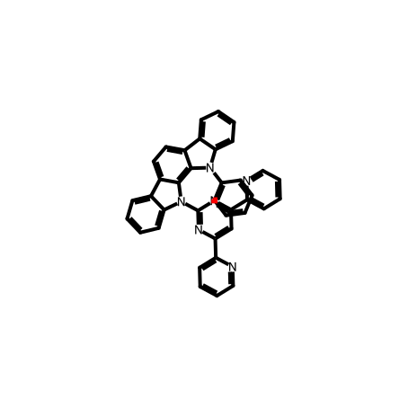 c1ccc(-n2c3ccccc3c3ccc4c5ccccc5n(-c5nc(-c6ccccn6)cc(-c6ccccn6)n5)c4c32)cc1